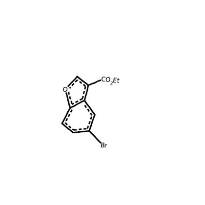 CCOC(=O)c1coc2ccc(Br)cc12